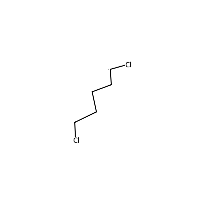 Cl[CH]CCCCCl